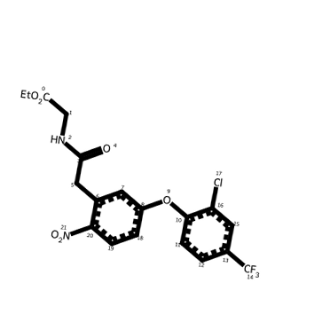 CCOC(=O)CNC(=O)Cc1cc(Oc2ccc(C(F)(F)F)cc2Cl)ccc1[N+](=O)[O-]